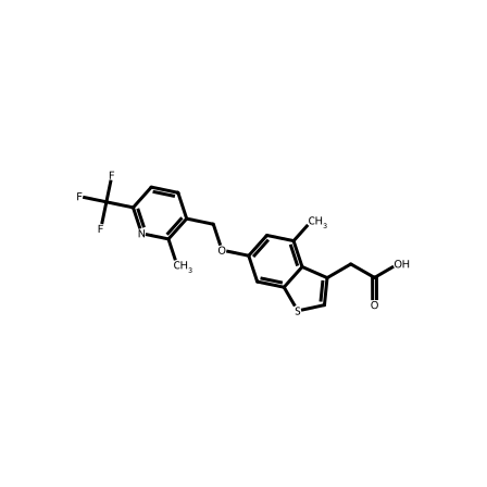 Cc1nc(C(F)(F)F)ccc1COc1cc(C)c2c(CC(=O)O)csc2c1